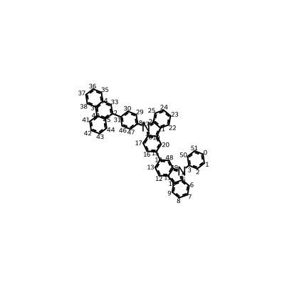 c1ccc(-n2c3ccccc3c3ccc(-c4ccc5c(c4)c4ccccc4n5-c4ccc(-c5cc6ccccc6c6ccccc56)cc4)cc32)cc1